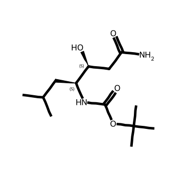 CC(C)C[C@H](NC(=O)OC(C)(C)C)[C@@H](O)CC(N)=O